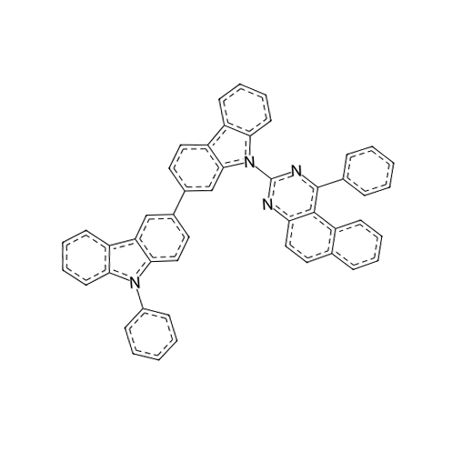 c1ccc(-c2nc(-n3c4ccccc4c4ccc(-c5ccc6c(c5)c5ccccc5n6-c5ccccc5)cc43)nc3ccc4ccccc4c23)cc1